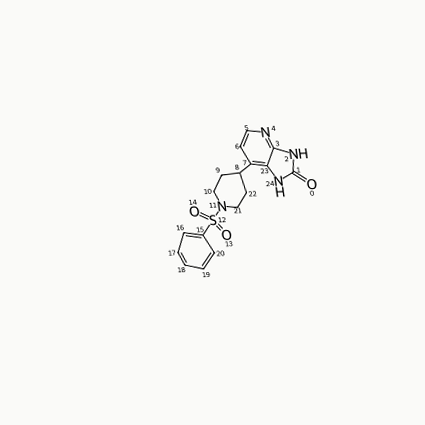 O=c1[nH]c2nccc(C3CCN(S(=O)(=O)c4ccccc4)CC3)c2[nH]1